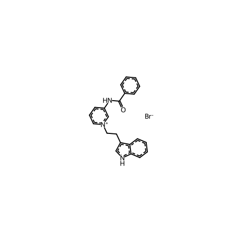 O=C(Nc1ccc[n+](CCc2c[nH]c3ccccc23)c1)c1ccccc1.[Br-]